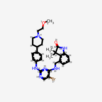 COCCN1CCC(c2ccc(Nc3ncc(Br)c(NCc4cccc5c4C(C)(C)C(=O)N5)n3)cc2)CC1